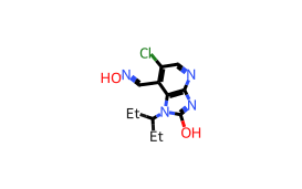 CCC(CC)n1c(O)nc2ncc(Cl)c(C=NO)c21